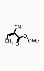 CC=C(C#N)C(=O)OOC